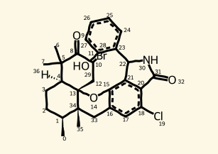 C[C@H]1CC[C@H]2C(C)(C)C(=O)C(Br)C[C@]23Oc2c(cc(Cl)c4c2C(c2ccccc2O)NC4=O)C[C@]13C